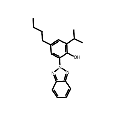 CCCCc1cc(C(C)C)c(O)c(-n2nc3ccccc3n2)c1